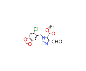 CC(C)OC(=O)c1c(C=O)ncn1Cc1cc2c(cc1Cl)OCO2